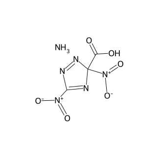 N.O=C(O)C1([N+](=O)[O-])N=NC([N+](=O)[O-])=N1